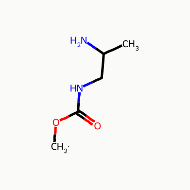 [CH2]OC(=O)NCC(C)N